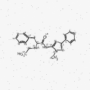 Cn1nc(-c2ccncc2)cc1NC(=O)C(Cc1ccccc1)NCC(=O)O